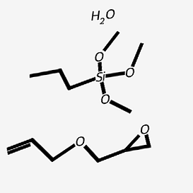 C=CCOCC1CO1.CCC[Si](OC)(OC)OC.O